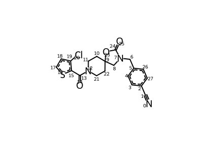 N#Cc1ccc(CN2CC3(CCN(C(=O)c4sccc4Cl)CC3)OC2=O)cc1